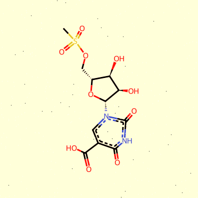 CS(=O)(=O)OC[C@H]1O[C@@H](n2cc(C(=O)O)c(=O)[nH]c2=O)[C@H](O)[C@@H]1O